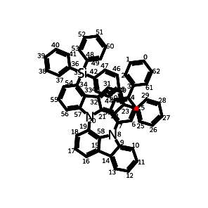 c1ccc(-c2ccc(-n3c4ccccc4c4cccc(-n5c6cc(-c7ccccc7)ccc6c6c([Si](c7ccccc7)(c7ccccc7)c7ccccc7)cccc65)c43)cc2)cc1